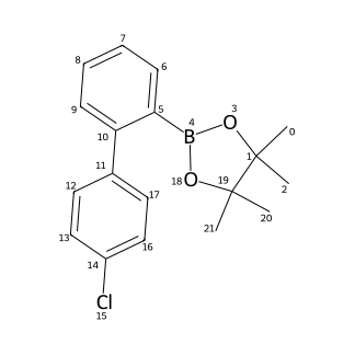 CC1(C)OB(c2ccccc2-c2ccc(Cl)cc2)OC1(C)C